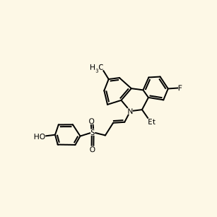 CCC1c2cc(F)ccc2-c2cc(C)ccc2N1C=CCS(=O)(=O)c1ccc(O)cc1